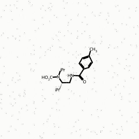 Cc1ccc(C(=O)NC[C@H](C(C)C)N(C(=O)O)C(C)C)cc1